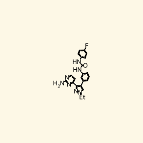 CCn1cc(-c2cccc(NC(=O)Nc3ccc(F)cc3)c2)c(-c2ccnc(N)n2)n1